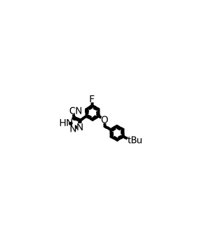 CC(C)(C)c1ccc(COc2cc(F)cc(-c3nn[nH]c3C#N)c2)cc1